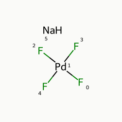 [F][Pd]([F])([F])[F].[NaH]